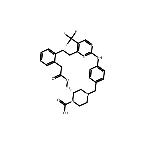 COC(=O)Cc1ccccc1CCc1nc(Nc2ccc(CN3CCN(C(=O)O)CC3)cc2)ncc1C(F)(F)F